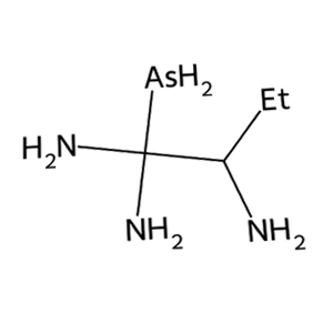 CCC(N)C(N)(N)[AsH2]